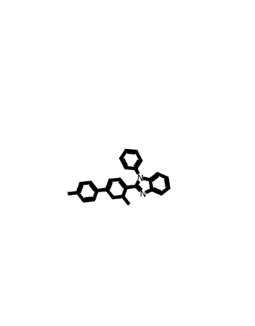 Cc1ccc(C2=CC=C(c3nc4ccccc4n3-c3ccccc3)C(C)C2)cc1